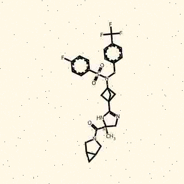 C[C@]1(C(=O)N2CC3CC3C2)CN=C(C23CC(N(Cc4ccc(C(F)(F)F)cc4)S(=O)(=O)c4ccc(F)cc4)(C2)C3)N1